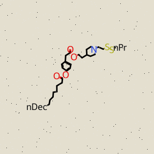 CCCCCCCCCCCCCCCCCC(=O)Oc1ccc(CC(=O)OCCC2CCN(CCSSCCC)CC2)cc1